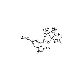 COc1cc(B2OC(C)(C)C(C)(C)O2)c2c(C#N)cnn2c1